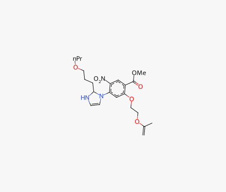 C=C(C)OCCOc1cc(N2C=CNC2CCCOCCC)c([N+](=O)[O-])cc1C(=O)OC